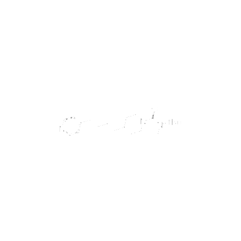 CN(C(=O)N1CCC(CCCCc2ccncc2)CC1)C(C)(C)C